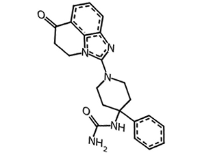 NC(=O)NC1(c2ccccc2)CCN(c2nc3cccc4c3n2CCC4=O)CC1